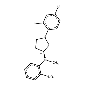 CN(c1ccccc1[N+](=O)[O-])[C@H]1CCN(c2ccc(Cl)cc2F)C1